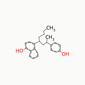 CCCCC(CC(C)c1ccc(O)cc1)c1ccc(O)c2ccccc12